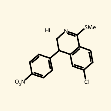 CSC1=NCC(c2ccc([N+](=O)[O-])cc2)c2cc(Cl)ccc21.I